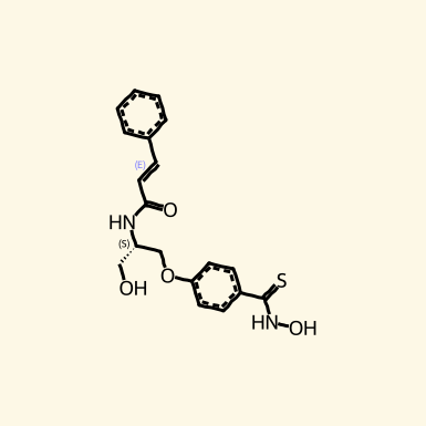 O=C(/C=C/c1ccccc1)N[C@@H](CO)COc1ccc(C(=S)NO)cc1